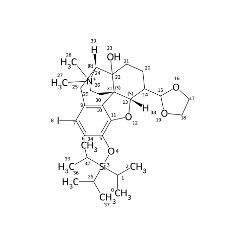 CC(C)[Si](Oc1cc(I)c2c3c1O[C@H]1C(C4OCCO4)CCC4(O)[C@@H](C2)[N+](C)(C)CC[C@]314)(C(C)C)C(C)C